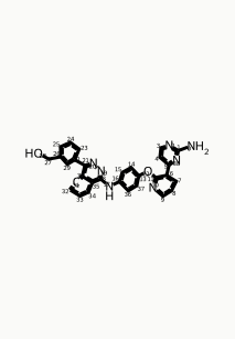 Nc1nccc(-c2cccnc2Oc2ccc(Nc3nnc(-c4cccc(CO)c4)c4ccccc34)cc2)n1